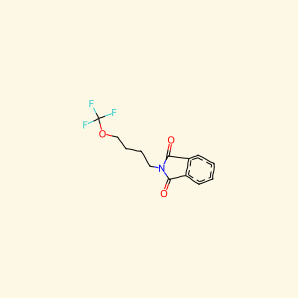 O=C1c2ccccc2C(=O)N1CCCCOC(F)(F)F